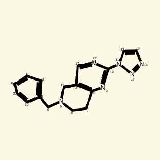 c1ccc(CN2CCc3nc(-n4ccnn4)ncc3C2)cc1